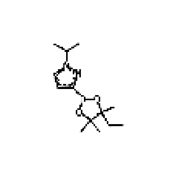 CCC1(C)OB(c2ccn(C(C)C)n2)OC1(C)C